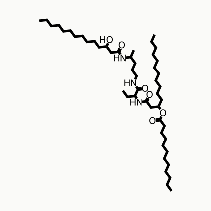 CCCCCCCCCCCC(=O)OC(CCCCCCCCCCC)CC(=O)NC(CC)C(=O)NCCCC(C)NC(=O)CC(O)CCCCCCCCCCC